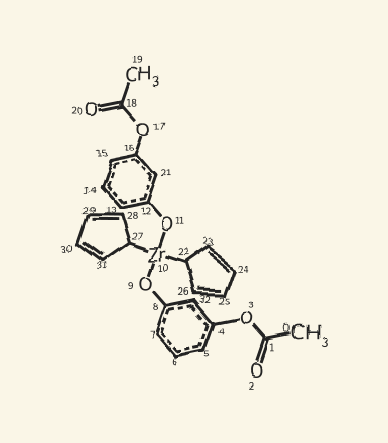 CC(=O)Oc1cccc([O][Zr]([O]c2cccc(OC(C)=O)c2)([CH]2C=CC=C2)[CH]2C=CC=C2)c1